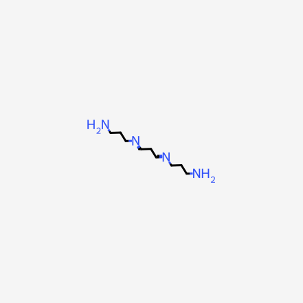 NCCCN=CCC=NCCCN